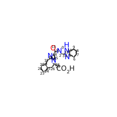 CN(Cc1nc2ccccc2[nH]1)C(=O)c1cn2c(n1)C=C1CC=CC=C1CC2CC(=O)O